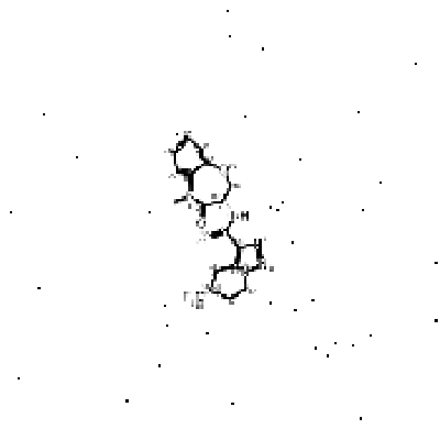 CN1C(=O)[C@@H](NC(=O)c2nnn3c2C[C@@H](C(F)(F)F)CC3)COc2ccccc21